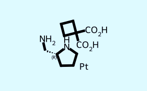 NC[C@H]1CCCN1.O=C(O)C1(C(=O)O)CCC1.[Pt]